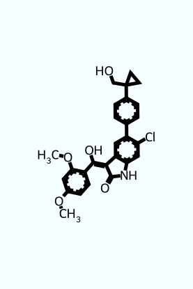 COc1ccc(C(O)=C2C(=O)Nc3cc(Cl)c(-c4ccc(C5(CO)CC5)cc4)cc32)c(OC)c1